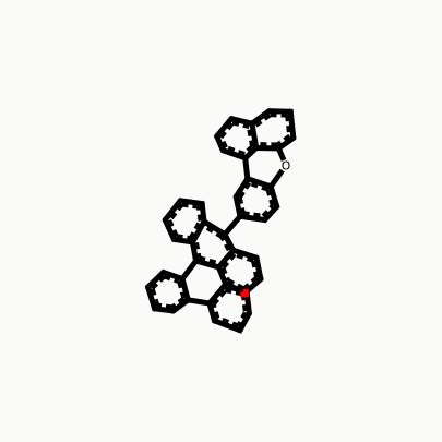 c1ccc(-c2ccccc2-c2c3ccccc3c(-c3ccc4c(c3)-c3cccc5cccc(c35)O4)c3ccccc23)cc1